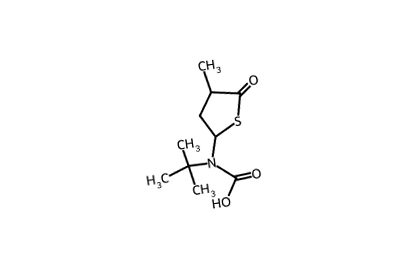 CC1CC(N(C(=O)O)C(C)(C)C)SC1=O